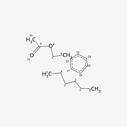 CCCCCC.CCOC(C)=O.c1ccccc1